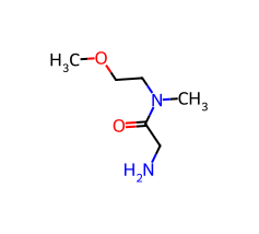 COCCN(C)C(=O)CN